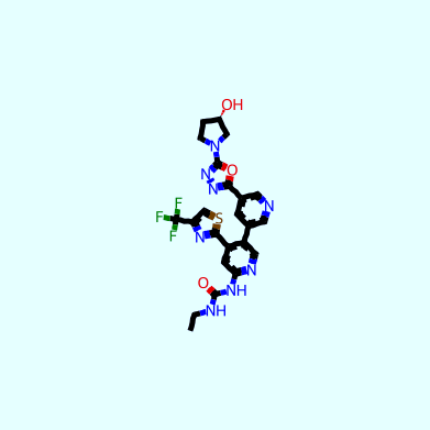 CCNC(=O)Nc1cc(-c2nc(C(F)(F)F)cs2)c(-c2cncc(-c3nnc(N4CC[C@H](O)C4)o3)c2)cn1